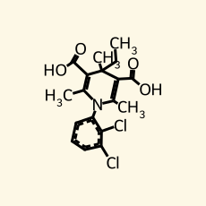 CCC1(C)C(C(=O)O)=C(C)N(c2cccc(Cl)c2Cl)C(C)=C1C(=O)O